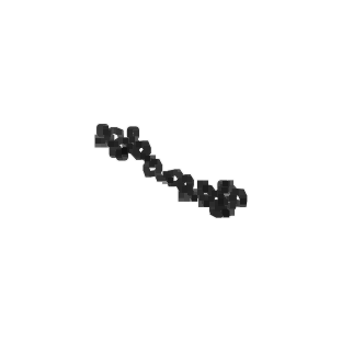 O=C1CCC(N2C(=O)c3ccc(N4CCC(CN5CCc6ccc(Nc7ncc8c(=O)n(-c9c(Cl)cccc9Cl)c9nccn9c8n7)cc6C5)CC4)cc3C2=O)C(=O)N1